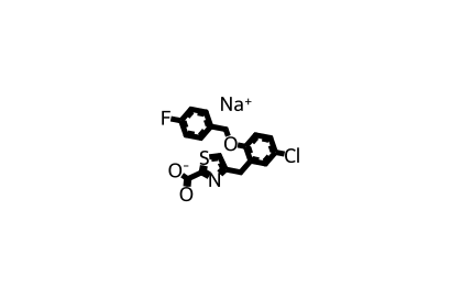 O=C([O-])c1nc(Cc2cc(Cl)ccc2OCc2ccc(F)cc2)cs1.[Na+]